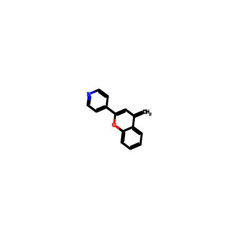 C=C1C=C(c2ccncc2)Oc2ccccc21